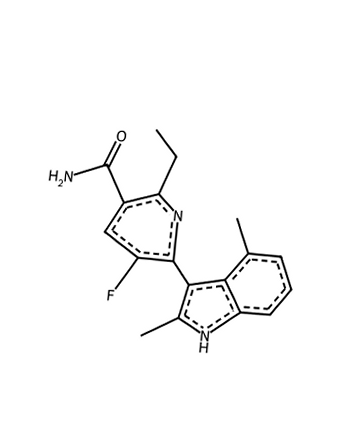 CCc1nc(-c2c(C)[nH]c3cccc(C)c23)c(F)cc1C(N)=O